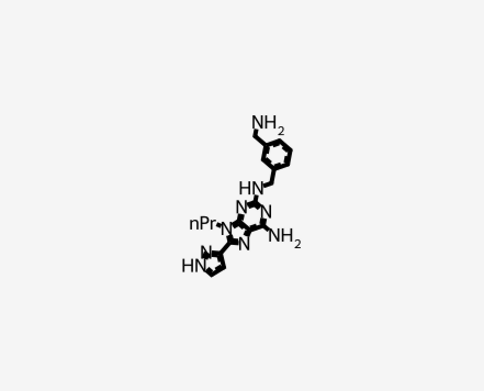 CCCn1c(-c2cc[nH]n2)nc2c(N)nc(NCc3cccc(CN)c3)nc21